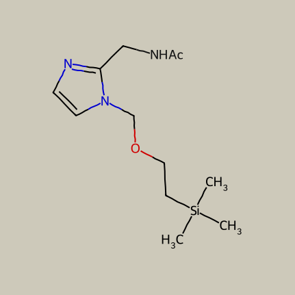 CC(=O)NCc1nccn1COCC[Si](C)(C)C